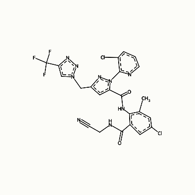 Cc1cc(Cl)cc(C(=O)NCC#N)c1NC(=O)c1cc(Cn2cc(C(F)(F)F)nn2)nn1-c1ncccc1Cl